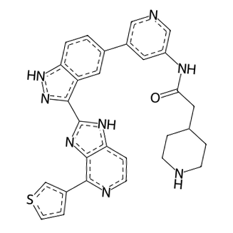 O=C(CC1CCNCC1)Nc1cncc(-c2ccc3[nH]nc(-c4nc5c(-c6ccsc6)nccc5[nH]4)c3c2)c1